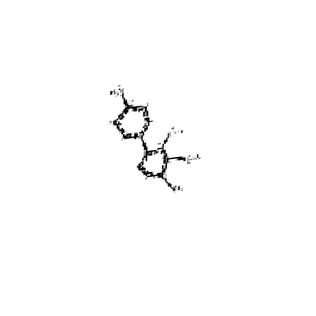 CCCCCCCCc1c(N)ccc(-c2ccc(N)cc2)c1CCCCCCCC